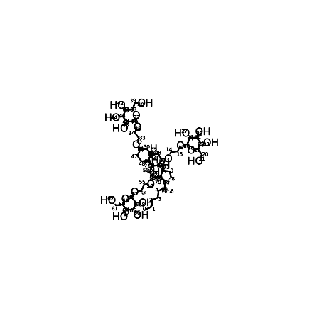 CCCCC[C@@H](C)[C@H]1CC[C@H]2[C@@H]3[C@H](OCCO[C@@H]4OC(CO)[C@@H](O)C(O)[C@@H]4O)C[C@@H]4C[C@H](OCCO[C@@H]5OC(CO)[C@@H](O)C(O)[C@@H]5O)CC[C@]4(C)[C@H]3C[C@H](OCCO[C@@H]3OC(CO)[C@@H](O)C(O)[C@@H]3O)[C@]12C